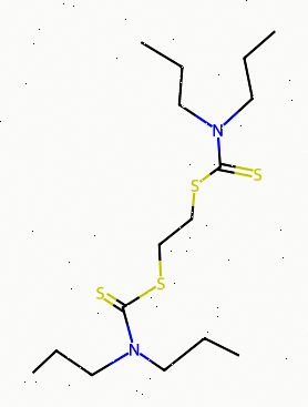 CCCN(CCC)C(=S)SCCSC(=S)N(CCC)CCC